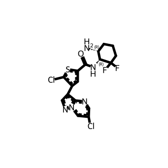 N[C@@H]1CCCC(F)(F)[C@@H]1NC(=O)c1cc(-c2cnn3cc(Cl)cnc23)c(Cl)s1